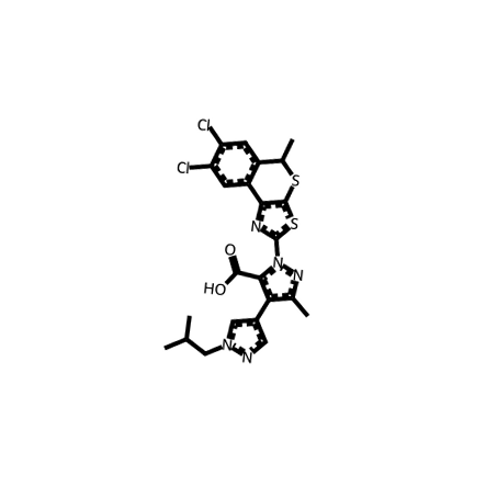 Cc1nn(-c2nc3c(s2)SC(C)c2cc(Cl)c(Cl)cc2-3)c(C(=O)O)c1-c1cnn(CC(C)C)c1